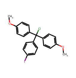 COc1ccc(C(Cl)(c2ccc(I)cc2)c2ccc(OC)cc2)cc1